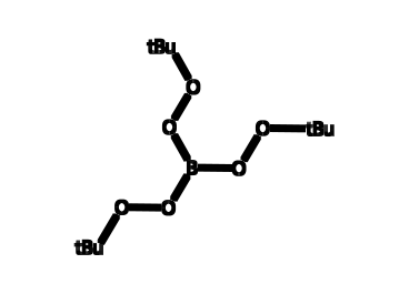 CC(C)(C)OOB(OOC(C)(C)C)OOC(C)(C)C